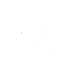 CCCOC1(C(=O)CC(C)C)c2ccccc2-c2cccc(C)c21